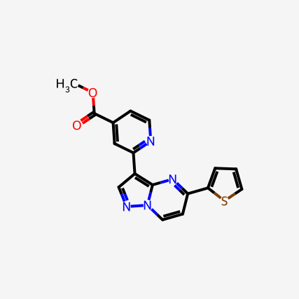 COC(=O)c1ccnc(-c2cnn3ccc(-c4cccs4)nc23)c1